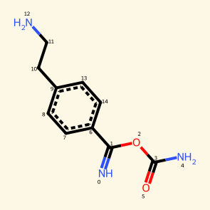 N=C(OC(N)=O)c1ccc(CCN)cc1